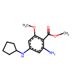 COC(=O)c1c(N)cc(NC2CCCC2)cc1OC